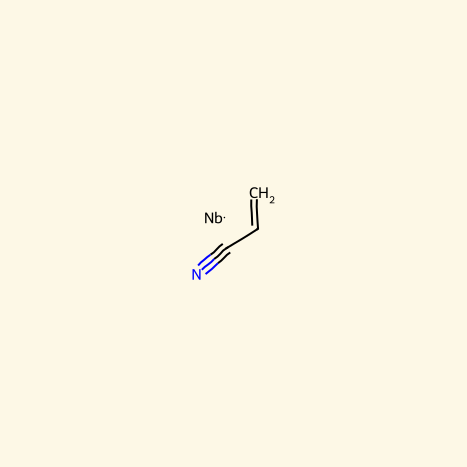 C=CC#N.[Nb]